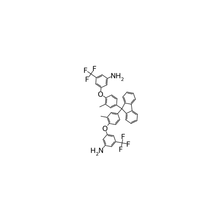 Cc1cc(C2(c3ccc(Oc4cc(N)cc(C(F)(F)F)c4)c(C)c3)c3ccccc3-c3ccccc32)ccc1Oc1cc(N)cc(C(F)(F)F)c1